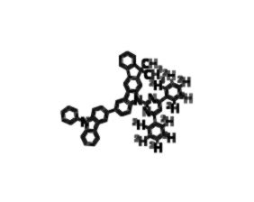 [2H]c1c([2H])c([2H])c(-c2cc(-c3c([2H])c([2H])c([2H])c([2H])c3[2H])nc(-n3c4ccc(-c5ccc6c(c5)c5ccccc5n6-c5ccccc5)cc4c4cc5c(cc43)C(C)(C)c3ccccc3-5)n2)c([2H])c1[2H]